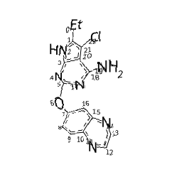 CCc1[nH]c2nc(Oc3ccc4nccnc4c3)nc(N)c2c1Cl